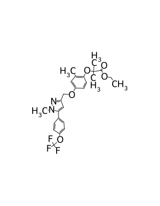 CCOC(=O)C(C)(C)Oc1ccc(OCc2cc(-c3ccc(OC(F)(F)F)cc3)n(C)n2)cc1C